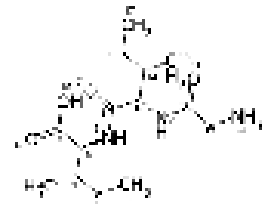 CC[C@H](C)[C@H](NC(=O)[C@@H](NC(=O)CN)[C@@H](C)CC)C(=O)O